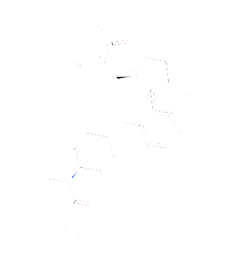 CN(C(=O)OC(C)(C)C)[C@H]1CC[C@H](Oc2ncnc3sc4c(c23)[C@@H](C[C@H](C#N)C(N)=O)CC4)CC1